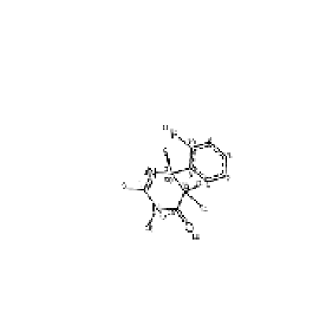 CC1=N[C@](C)(c2ccccc2F)C(C)(C)C(=O)N1C